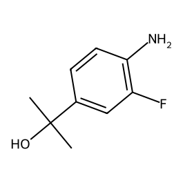 CC(C)(O)c1ccc(N)c(F)c1